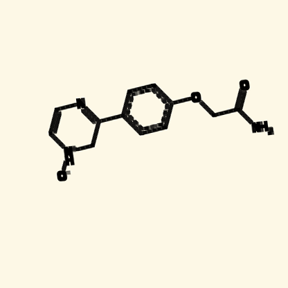 NC(=O)COc1ccc(C2=NC=C[NH+]([O-])C2)cc1